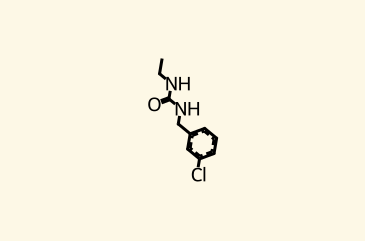 CCNC(=O)NCc1cccc(Cl)c1